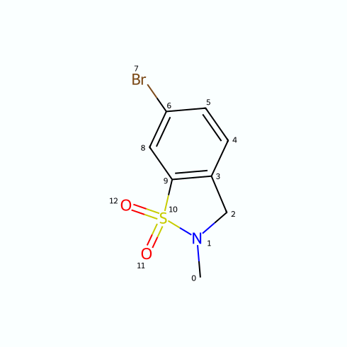 CN1Cc2ccc(Br)cc2S1(=O)=O